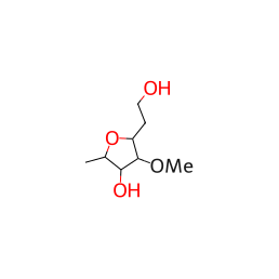 COC1C(CCO)OC(C)C1O